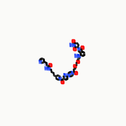 O=C(/C=C/c1cccnc1)NCCCCC1CCN(C(=O)c2ccc(N3CCN(C(=O)CCOCCOCCNc4cccc5c4CN(C4CCC(=O)NC4=O)C5=O)CC3)nc2)CC1